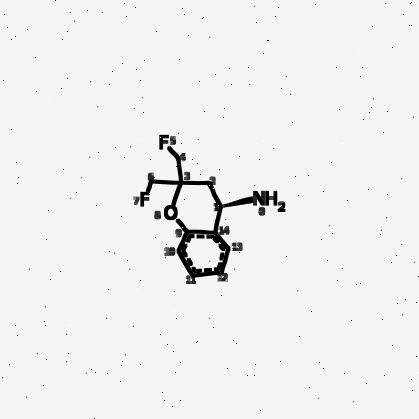 N[C@@H]1CC(CF)(CF)Oc2ccccc21